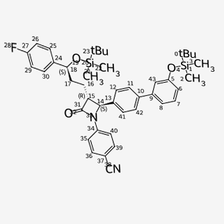 CC(C)(C)[Si](C)(C)Oc1cccc(-c2ccc([C@@H]3[C@@H](CC[C@H](O[Si](C)(C)C(C)(C)C)c4ccc(F)cc4)C(=O)N3c3ccc(C#N)cc3)cc2)c1